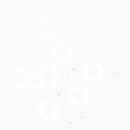 CC(C)(C)c1ccc(N2B3c4cccc5c4N(c4ccccc4C5(C)C)c4c3c(cc3c4oc4ccccc43)-c3c2ccc2c3oc3ccccc32)cc1